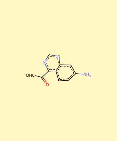 Nc1ccc2c(C(=O)C=O)ncnc2c1